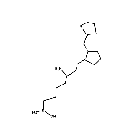 NC(CCCCB(O)O)CCN1CCC[C@H]1CN1CCCC1